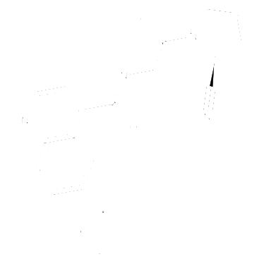 N#C[C@@H]1CSCN1C(=O)CNC(=O)c1ccnc2ccc(C3(F)CCC3)cc12